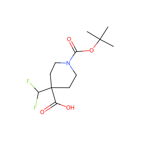 CC(C)(C)OC(=O)N1CCC(C(=O)O)(C(F)F)CC1